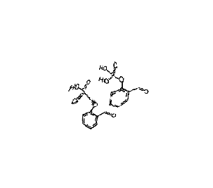 O=Cc1ccccc1OP(=O)(O)O.O=Cc1ccccc1OS(=O)(=O)O